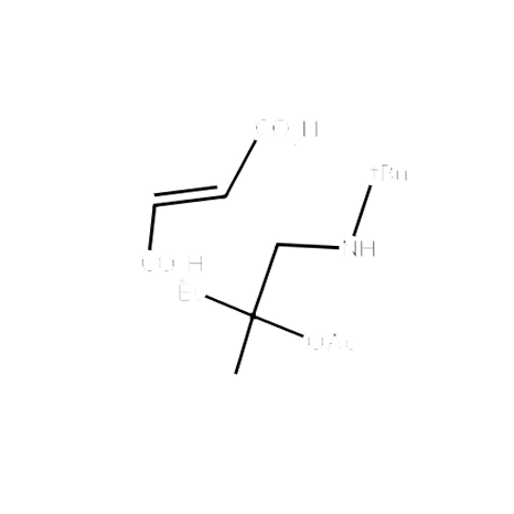 CCC(C)(CNC(C)(C)C)OC(C)=O.O=C(O)/C=C/C(=O)O